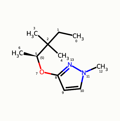 CCC(C)(C)[C@H](C)Oc1ccn(C)n1